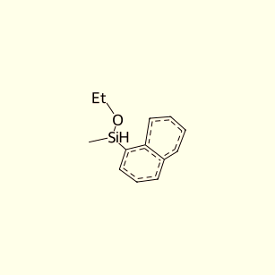 CCO[SiH](C)c1cccc2ccccc12